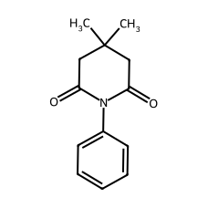 CC1(C)CC(=O)N(c2ccccc2)C(=O)C1